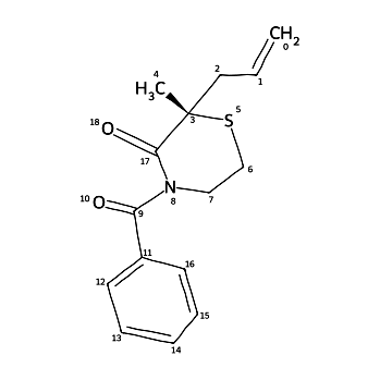 C=CC[C@]1(C)SCCN(C(=O)c2ccccc2)C1=O